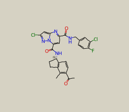 CC(=O)c1ccc2c(c1C)CC[C@@H]2NC(=O)c1cc(C(=O)NCc2ccc(F)c(Cl)c2)nc2cc(Cl)nn12